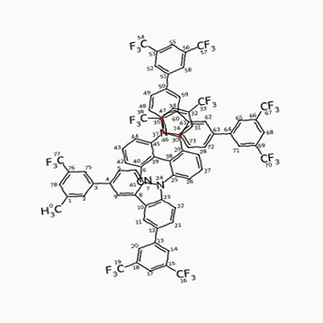 Cc1cc(-c2ccc3c(c2)c2cc(-c4cc(C(F)(F)F)cc(C(F)(F)F)c4)ccc2n3-c2cccc(-c3cc(C(F)(F)F)cc(C(F)(F)F)c3)c2-c2c(C#N)cccc2-n2c3ccc(-c4cc(C(F)(F)F)cc(C(F)(F)F)c4)cc3c3cc(-c4cc(C(F)(F)F)cc(C(F)(F)F)c4)ccc32)cc(C(F)(F)F)c1